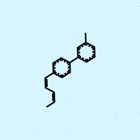 C/C=C\C=C/c1ccc(-c2cccc(C)c2)cc1